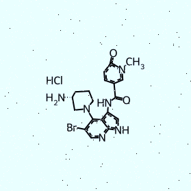 Cl.Cn1cc(C(=O)Nc2c[nH]c3ncc(Br)c(N4CCC[C@@H](N)C4)c23)ccc1=O